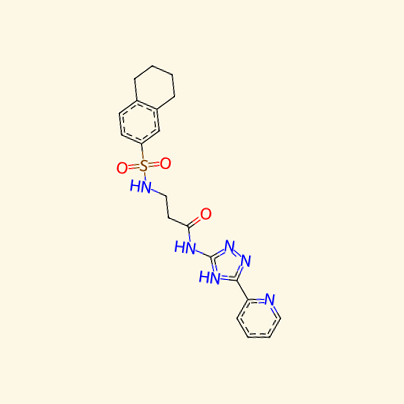 O=C(CCNS(=O)(=O)c1ccc2c(c1)CCCC2)Nc1nnc(-c2ccccn2)[nH]1